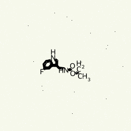 C=C(C)OC(=O)NCCc1c[nH]c2ccc(F)cc12